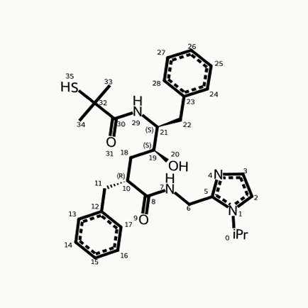 CC(C)n1ccnc1CNC(=O)[C@H](Cc1ccccc1)C[C@H](O)[C@H](Cc1ccccc1)NC(=O)C(C)(C)S